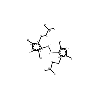 Cc1oc(C)c(SSc2c(C)oc(C)c2CCC(C)C)c1CCC(C)C